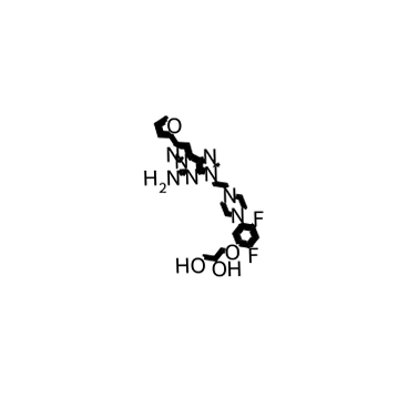 Nc1nc2c(ncn2CCN2CCN(c3cc(OC[C@H](O)CO)c(F)cc3F)CC2)c2cc(-c3ccco3)nn12